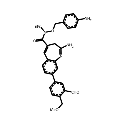 CCCN(OCc1ccc(N)cc1)C(=O)C1=Cc2ccc(-c3ccc(COC)c(C=O)c3)cc2N=C(N)C1